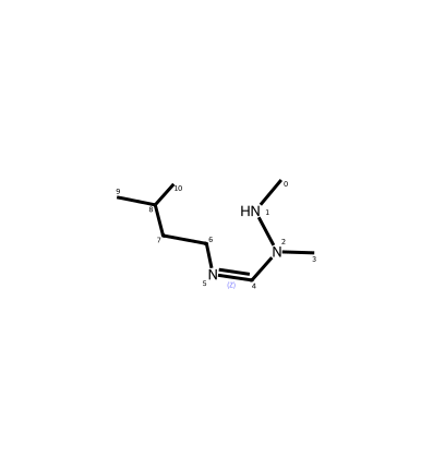 CNN(C)/C=N\CCC(C)C